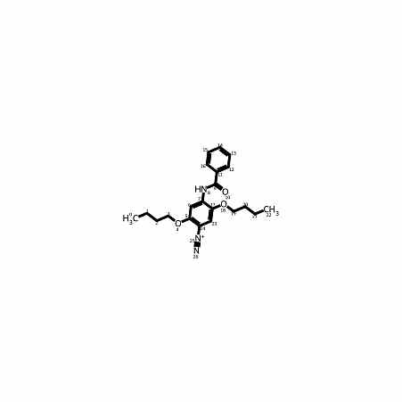 CCCCOc1cc(NC(=O)c2ccccc2)c(OCCCC)cc1[N+]#N